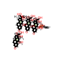 CC(=O)O[C@]1(C(=O)CO)[C@H](C)CC2C3CCC4=CC(=O)C=C[C@]4(C)[C@@]3(F)[C@@H](O)C[C@@]21C.C[C@@H]1CC2C3CCC4=CC(=O)C=C[C@]4(C)[C@@]3(F)[C@@H](O)C[C@]2(C)[C@@]1(O)C(=O)CO.C[C@@H]1CC2C3CCC4=CC(=O)C=C[C@]4(C)[C@@]3(F)[C@@H](O)C[C@]2(C)[C@@]1(O)C(=O)CO.C[C@@H]1CC2[C@H]3CCC4=CC(=O)C=C[C@]4(C)[C@@]3(F)[C@@H](O)C[C@]2(C)[C@@]1(O)C(=O)CO.O=P([O-])([O-])[O-].[Na+].[Na+].[Na+]